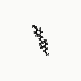 C#Cc1ccc(CCC2CCC(CCC)CC2)cc1